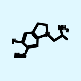 CSc1cc2c(cc1F)CCN2CC(C)N